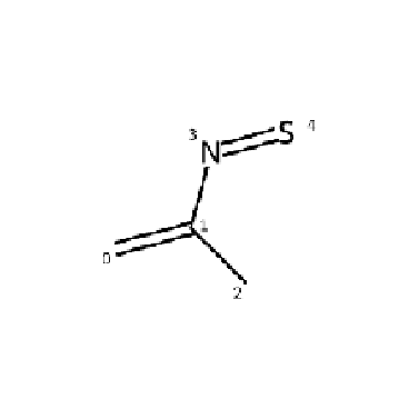 C=C(C)N=S